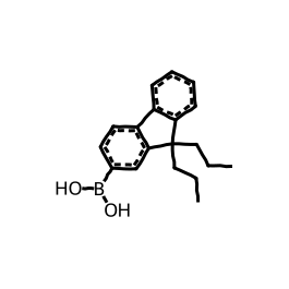 CCCC1(CCC)c2ccccc2-c2ccc(B(O)O)cc21